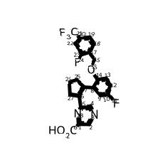 O=C(O)c1cncc(C2=C(c3cc(F)ccc3OCc3ccc(C(F)(F)F)cc3F)CCC2)n1